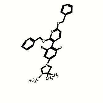 CC1(C)CN(c2cc(F)c(-c3ccc(OCc4ccccc4)nc3OCc3ccccc3)c(F)c2)C[C@@H]1C(=O)O